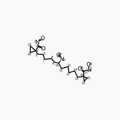 O=NC(=O)C1(CCCCCC(CCCCCC2(C(=O)N=O)CC2)N=O)CC1